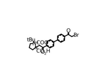 CC(C)(C)[N+]1(C(=O)[O-])CCC[C@]1(CC(=O)c1ccc(-c2ccc(C(=O)CBr)cc2)cc1)C(=O)O